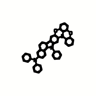 c1ccc(N(c2ccccc2)c2ccc3c(ccc4c5cc6c(cc5n(-c5ccccc5)c34)B3c4ccccc4Oc4cccc(c43)O6)c2)cc1